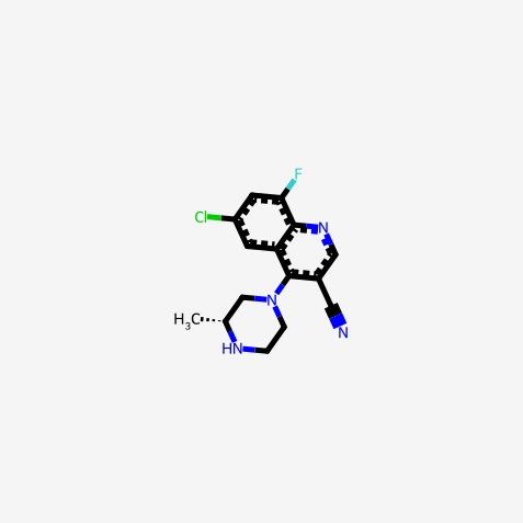 C[C@@H]1CN(c2c(C#N)cnc3c(F)cc(Cl)cc23)CCN1